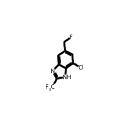 FCc1cc(Cl)c2[nH]c(C(F)(F)F)nc2c1